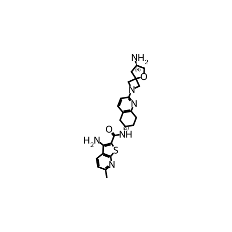 Cc1ccc2c(N)c(C(=O)N[C@H]3CCc4nc(N5CC6(C[C@@H](N)CO6)C5)ccc4C3)sc2n1